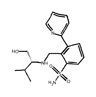 CC(C)[C@H](CO)NCc1c(-c2ccccn2)cccc1S(N)(=O)=O